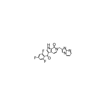 O=C(c1c(F)cc(F)cc1F)c1c[nH]c2c(=O)n(Cc3cn4cccnc4n3)ccc12